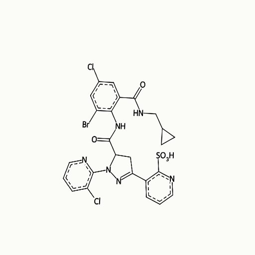 O=C(NCC1CC1)c1cc(Cl)cc(Br)c1NC(=O)C1CC(c2cccnc2S(=O)(=O)O)=NN1c1ncccc1Cl